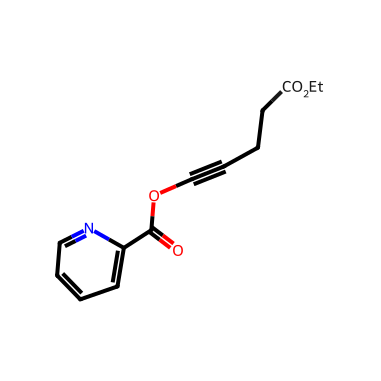 CCOC(=O)CCC#COC(=O)c1ccccn1